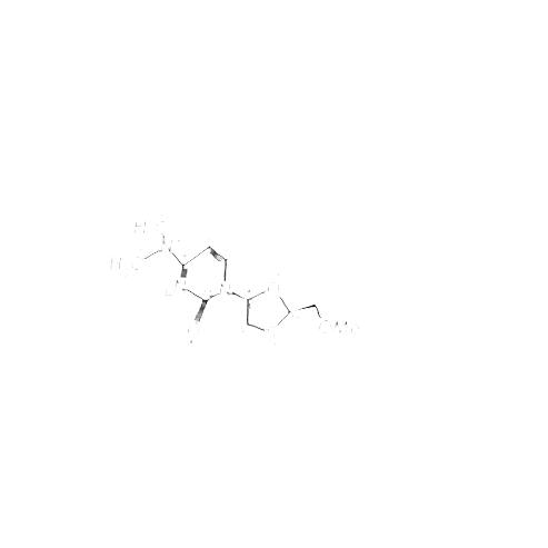 COC[C@@H]1O[C@H](n2ccc(N(C)C)nc2=O)CS1